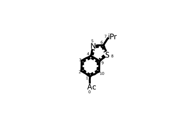 CC(=O)c1ccc2nc(C(C)C)sc2c1